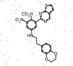 O=C(O)c1c(-c2ncc3ccsc3n2)cc(NCCc2ccc3c(c2)OCCO3)cc1[N+](=O)[O-]